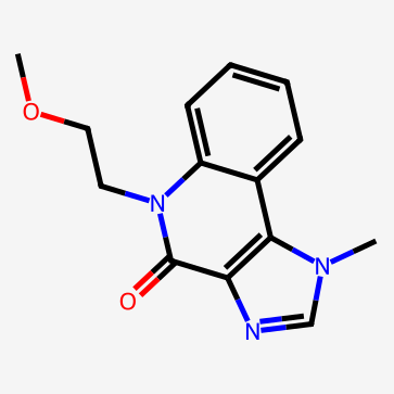 COCCn1c(=O)c2ncn(C)c2c2ccccc21